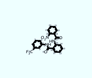 O=C(Nc1cccc(C(F)(F)F)c1)c1ccccc1NC(=O)c1ccccc1[N+](=O)[O-]